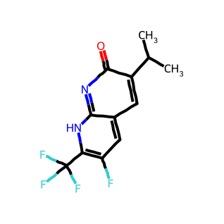 CC(C)c1cc2cc(F)c(C(F)(F)F)[nH]c-2nc1=O